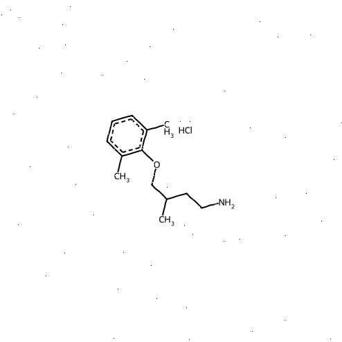 Cc1cccc(C)c1OCC(C)CCN.Cl